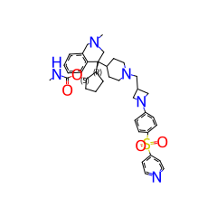 CNC(=O)O[C@H]1CCC[C@@H]1C1(C2CCN(CC3CN(c4ccc(S(=O)(=O)c5ccncc5)cc4)C3)CC2)CN(C)Cc2ccccc21